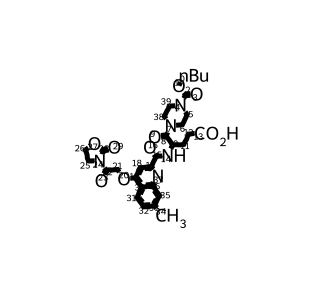 CCCCOC(=O)N1CCN(C(=O)C(CCC(=O)O)NC(=O)c2cc(OCC(=O)N3CCOC3=O)c3ccc(C)cc3n2)CC1